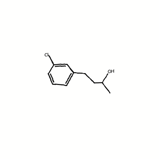 CC(O)CCc1cccc(Cl)c1